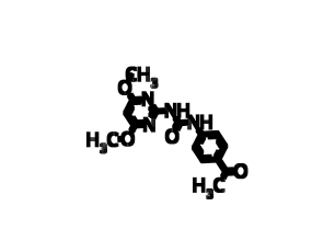 COc1cc(OC)nc(NC(=O)Nc2ccc(C(C)=O)cc2)n1